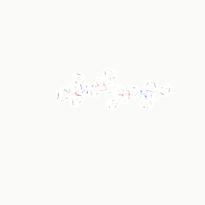 c1ccc(-c2c3cc4c(oc5cc(N(c6ccccc6)c6cccc7c6oc6ccccc67)ccc54)c(-c4ccccc4)c3cc3c2oc2cc(N(c4ccccc4)c4cccc5c4oc4ccccc45)ccc23)cc1